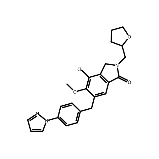 COc1c(Cc2ccc(-n3cccn3)cc2)cc2c(c1Cl)CN(CC1CCCO1)C2=O